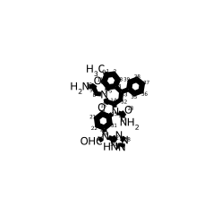 Cc1ccc2c(c1)N(CC(N)=O)C(=O)C(N(C(N)=O)c1cccc(N(C=O)c3nnn[nH]3)c1)CC2c1ccccc1